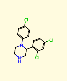 Clc1ccc(N2CCNCC2c2ccc(Cl)cc2Cl)cc1